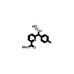 COC(=O)c1cccc(C(O)c2ccc(F)cc2)n1.[Li+].[OH-]